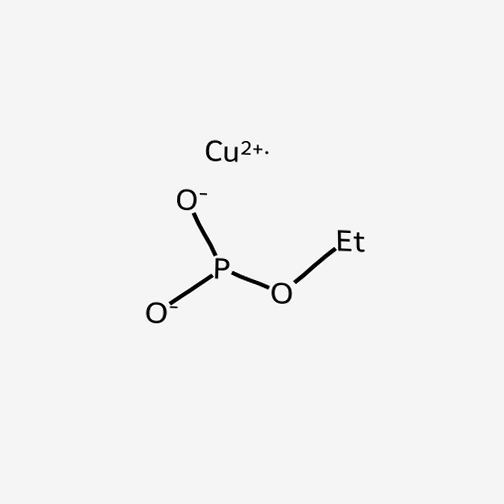 CCOP([O-])[O-].[Cu+2]